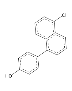 Oc1ccc(-c2cccc3c(Cl)cccc23)cc1